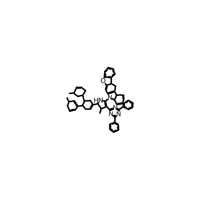 CC1C=C(C2CC=C(C3NC(N4C5=C(CC6C(=C5)Oc5ccccc56)C5C=CC=CC54)=C(c4nc(-c5ccccc5)nc(-c5ccccc5)n4)C3C)CC2C2CC=CC(C)C2)C=CC1